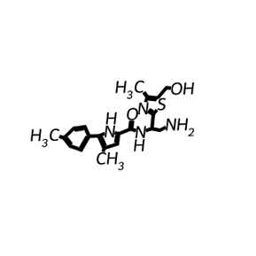 Cc1ccc(-c2[nH]c(C(=O)NC(CN)c3nc(C)c(CO)s3)cc2C)cc1